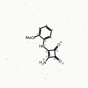 COc1ccccc1Nc1c(N)c(=O)c1=O